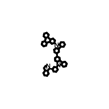 c1cc(-c2nccc3ccccc23)cc(-n2c3ccccc3c3cc(-c4ccc5c(c4)c4ccccc4n5-c4ccc5c6ccccc6c6ccccc6c5c4)ccc32)c1